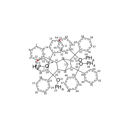 [PH4]OC(c1ccccc1)(c1ccccc1)C1C2CC(C1C(O[PH4])(c1ccccc1)c1ccccc1)C(C(O[PH4])(c1ccccc1)c1ccccc1)C2C(O[PH4])(c1ccccc1)c1ccccc1